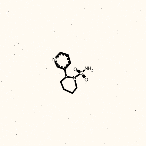 NS(=O)(=O)N1CCCCC1c1cccnc1